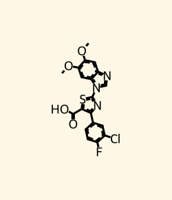 COc1cc2ncn(-c3nc(-c4ccc(F)c(Cl)c4)c(C(=O)O)s3)c2cc1OC